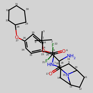 CC(C)(C)OC(=O)NC1CC2CCC(C1)N2C(=O)C(N)C(F)(F)c1ccc(OC2CCCCC2)cc1